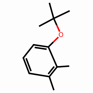 Cc1cccc(OC(C)(C)C)c1C